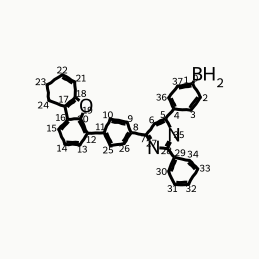 Bc1ccc(-c2cc(-c3ccc(-c4cccc5c6c(oc45)C=CCC6)cc3)nc(-c3ccccc3)n2)cc1